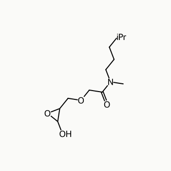 CC(C)CCCN(C)C(=O)COCC1OC1O